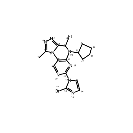 CCC1c2nnc(C)n2-c2cnc(-n3ccnc3Br)nc2N1C1CCCC1